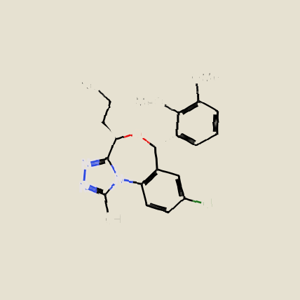 COc1cccc([C@H]2O[C@H](CCC#N)c3nnc(C)n3-c3ccc(Cl)cc32)c1OC